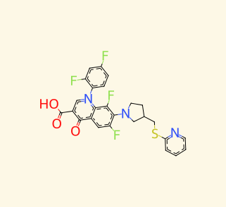 O=C(O)c1cn(-c2ccc(F)cc2F)c2c(F)c(N3CCC(CSc4ccccn4)C3)c(F)cc2c1=O